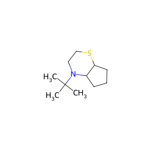 CC(C)(C)N1CCSC2CCCC21